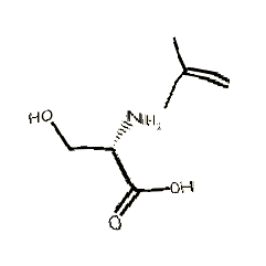 C=C(C)C.N[C@@H](CO)C(=O)O